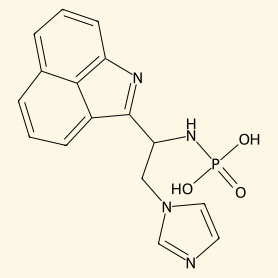 O=P(O)(O)NC(Cn1ccnc1)C1=Nc2cccc3cccc1c23